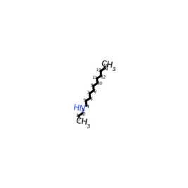 CC[CH]NCCCCCCCCCCCC